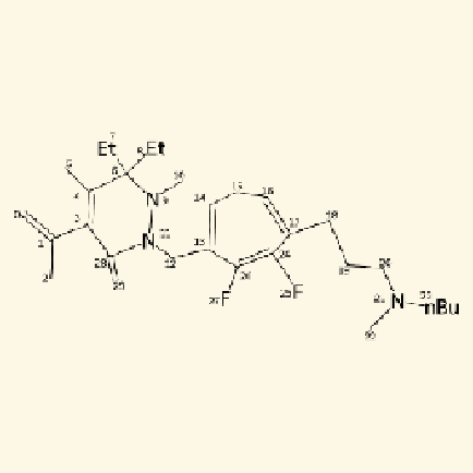 C=C(C)C1=C(C)C(CC)(CC)N(C)N(CC2=CCC=C(CCCN(C)CCCC)C(F)=C2F)C1=C